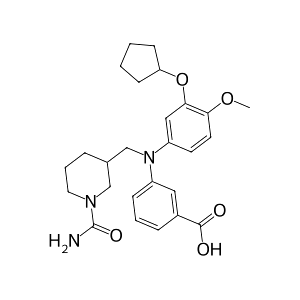 COc1ccc(N(CC2CCCN(C(N)=O)C2)c2cccc(C(=O)O)c2)cc1OC1CCCC1